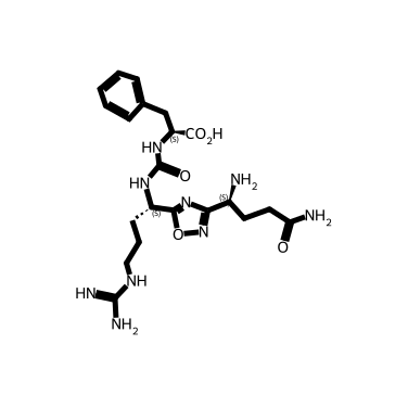 N=C(N)NCCC[C@H](NC(=O)N[C@@H](Cc1ccccc1)C(=O)O)c1nc([C@@H](N)CCC(N)=O)no1